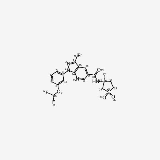 CC(C)c1nn(-c2cccc(OC(F)F)c2)c2ncc(C(=O)NC3(C)CCS(=O)(=O)C3)cc12